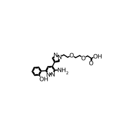 Nc1nnc(-c2ccccc2O)cc1-c1cnn(CCOCCOCC(=O)O)c1